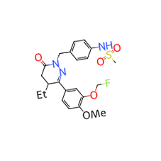 CCC1CC(=O)N(Cc2ccc(NS(C)(=O)=O)cc2)N=C1c1ccc(OC)c(OCF)c1